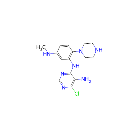 CNc1ccc(N2CCNCC2)c(Nc2ncnc(Cl)c2N)c1